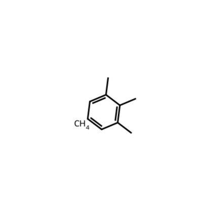 C.Cc1cccc(C)c1C